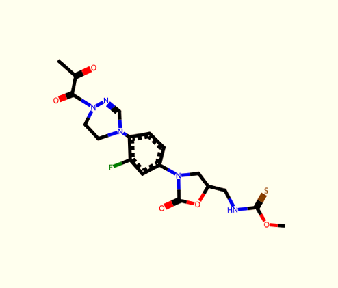 COC(=S)NCC1CN(c2ccc(N3C=NN(C(=O)C(C)=O)CC3)c(F)c2)C(=O)O1